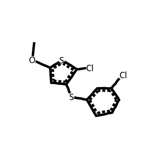 COc1cc(Sc2cccc(Cl)c2)c(Cl)s1